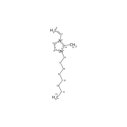 C=Cn1cc[n+](CCCCCCCC)c1C